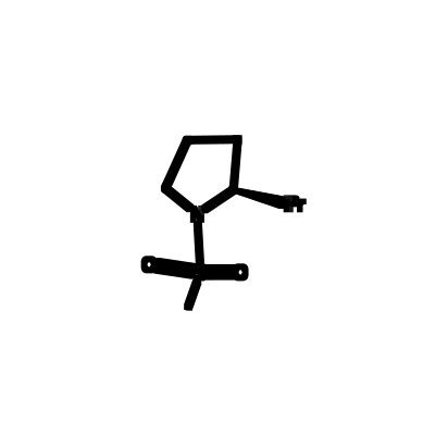 CC(C)[C@@H]1CCCN1S(C)(=O)=O